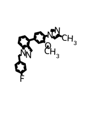 COc1cc(-c2cccc3c2cnn3Cc2ccc(F)cc2)ccc1-n1cnc(C)c1